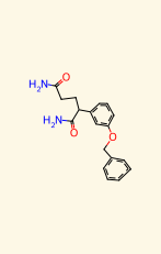 NC(=O)CCC(C(N)=O)c1cccc(OCc2ccccc2)c1